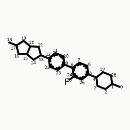 CC1CCC(c2ccc(-c3ccc(C4CC5CC(C)CC5C4)cc3)c(F)c2)CC1